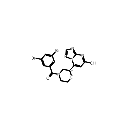 Cc1cc([C@@H]2CN(C(=O)c3cc(Br)cc(Br)c3)CCO2)n2ncnc2n1